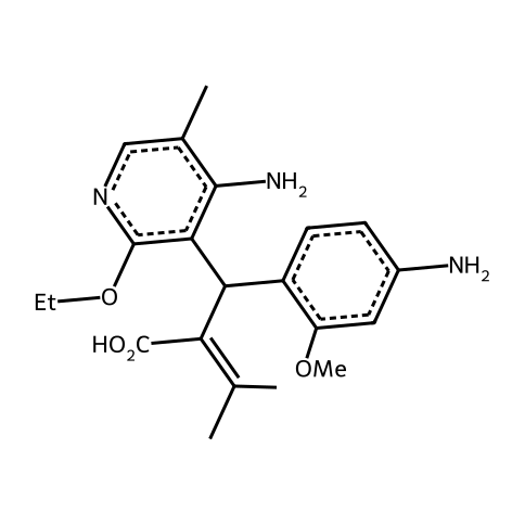 CCOc1ncc(C)c(N)c1C(C(C(=O)O)=C(C)C)c1ccc(N)cc1OC